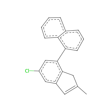 CC1=Cc2cc(Cl)cc(-c3cccc4ccccc34)c2C1